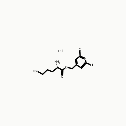 CC(C)(C)CCC[C@H](N)C(=O)OCc1cc(Cl)nc(Cl)c1.Cl